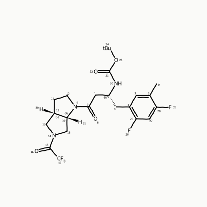 Cc1cc(C[C@H](CC(=O)N2CC[C@H]3CN(C(=O)C(F)(F)F)C[C@H]32)NC(=O)OC(C)(C)C)c(F)cc1F